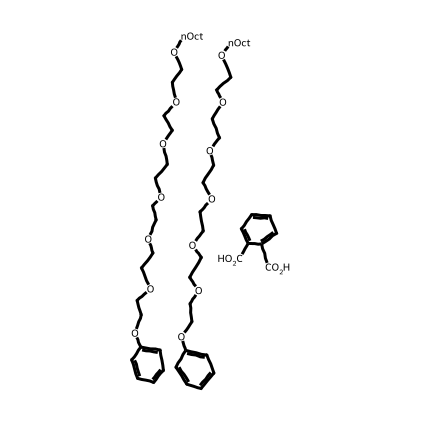 CCCCCCCCOCCOCCOCCOCCOCCOCCOc1ccccc1.CCCCCCCCOCCOCCOCCOCCOCCOCCOc1ccccc1.O=C(O)c1ccccc1C(=O)O